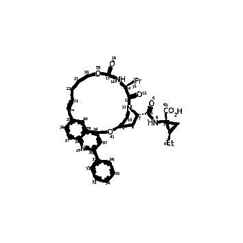 CC[C@@H]1C[C@]1(NC(=O)[C@@H]1CC2CN1C(=O)[C@H](C(C)C)NC(=O)OCCC/C=C/c1ccc3nc(-c4ccccc4)cc(c3c1)O2)C(=O)O